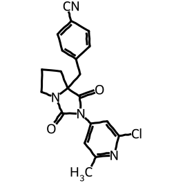 Cc1cc(N2C(=O)N3CCCC3(Cc3ccc(C#N)cc3)C2=O)cc(Cl)n1